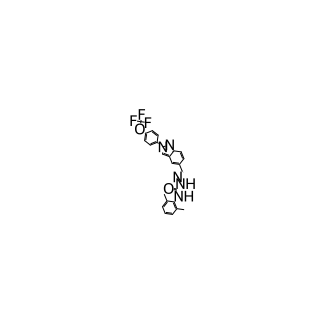 Cc1cccc(C)c1NC(=O)NN=Cc1ccc2nn(-c3ccc(OC(F)(F)F)cc3)cc2c1